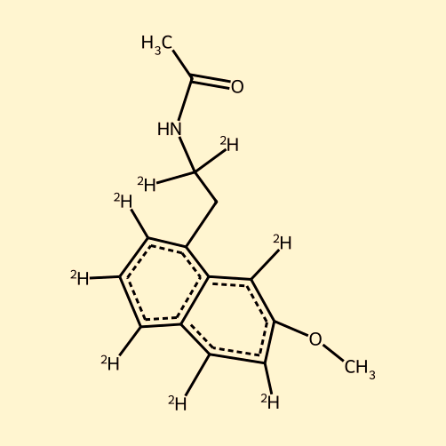 [2H]c1c([2H])c(CC([2H])([2H])NC(C)=O)c2c([2H])c(OC)c([2H])c([2H])c2c1[2H]